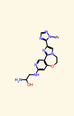 CC(C)n1ncnc1-c1cn2c(n1)-c1cnc(NCC(N)O)cc1OCC2